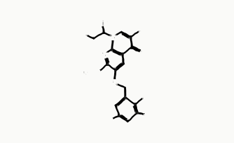 COc1nc2c(cc1NCc1cc(F)cc(F)c1F)c(=O)c(C(=O)O)cn2C(CO)C(C)C